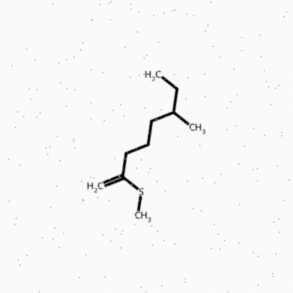 [CH2]CC(C)CCCC(=C)SC